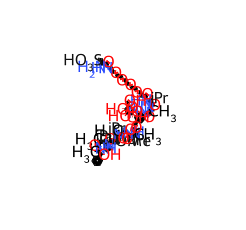 CC[C@H](C)[C@@H]([C@@H](CC(=O)N1CCC[C@H]1[C@H](OC)[C@@H](C)C(=O)N[C@H](C)[C@@H](O)c1ccccc1)OC)N(C)C(=O)[C@@H](NC(=O)[C@H](C(C)C)N(C)C(=O)OCc1ccc(NC(=O)[C@H](C)NC(=O)[C@@H](NC(=O)CCOCCOCCOCCOCCNC(=O)[C@@H](N)CS(=O)(=O)O)C(C)C)c(O[C@@H]2O[C@H](CO)[C@@H](O)[C@H](O)[C@H]2O)c1)C(C)C